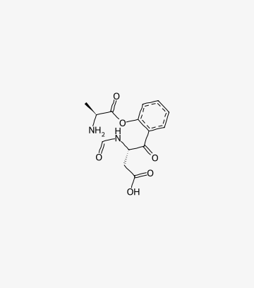 C[C@H](N)C(=O)Oc1ccccc1C(=O)[C@H](CC(=O)O)NC=O